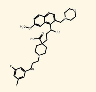 COc1ccc2ncc(CN3CCOCC3)c(C(O)CCC3(C(=O)O)CCN(CCNc4cc(F)cc(F)c4)CC3)c2c1